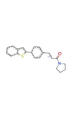 O=C(/C=C/c1ccc(-c2cc3ccccc3s2)cc1)N1CCCC1